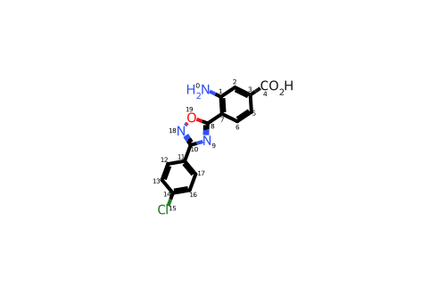 Nc1cc(C(=O)O)ccc1-c1nc(-c2ccc(Cl)cc2)no1